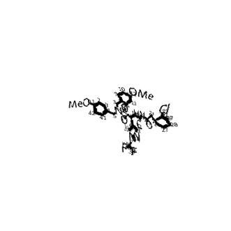 COc1ccc(CN(Cc2ccc(OC)cc2)S(=O)(=O)c2cc(NC(=O)Cc3ccccc3Cl)cc3nn(C(F)F)cc23)cc1